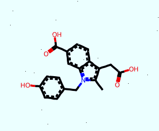 Cc1c(CC(=O)O)c2ccc(C(=O)O)cc2n1Cc1ccc(O)cc1